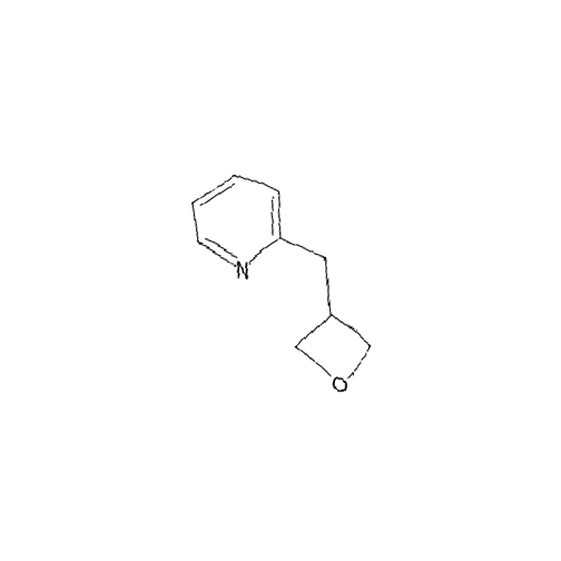 c1ccc(CC2COC2)nc1